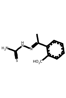 CC(=NNC(N)=S)c1ccccc1C(=O)O